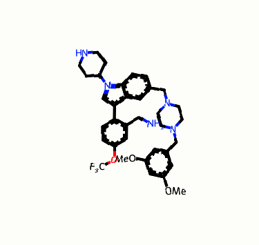 COc1cc(CN2CCN(Cc3ccc4c(c3)c(-c3ccc(OC(F)(F)F)cc3CN)cn4C3CCNCC3)CC2)cc(OC)c1